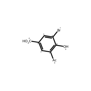 CC(=O)c1cc(C(=O)O)cc(Br)c1O